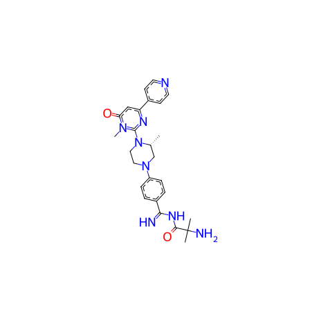 C[C@@H]1CN(c2ccc(C(=N)NC(=O)C(C)(C)N)cc2)CCN1c1nc(-c2ccncc2)cc(=O)n1C